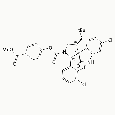 COC(=O)c1ccc(OC(=O)N2C[C@@H](CC(C)(C)C)[C@@]3(C(=O)Nc4cc(Cl)ccc43)[C@H]2c2cccc(Cl)c2F)cc1